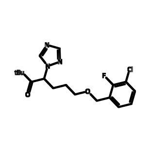 CC(C)(C)C(=O)C(CCCOCc1cccc(Cl)c1F)n1cncn1